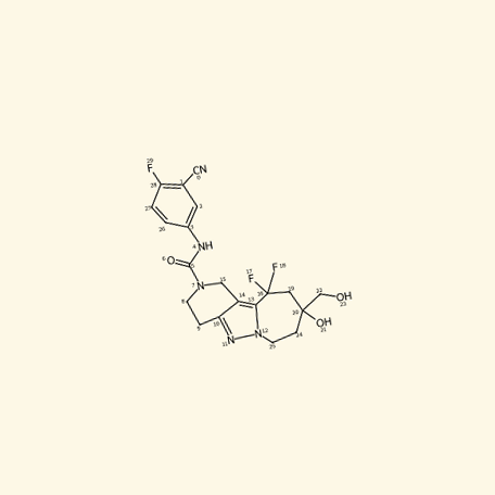 N#Cc1cc(NC(=O)N2CCc3nn4c(c3C2)C(F)(F)CC(O)(CO)CC4)ccc1F